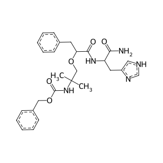 CC(C)(COC(Cc1ccccc1)C(=O)NC(Cc1c[nH]cn1)C(N)=O)NC(=O)OCc1ccccc1